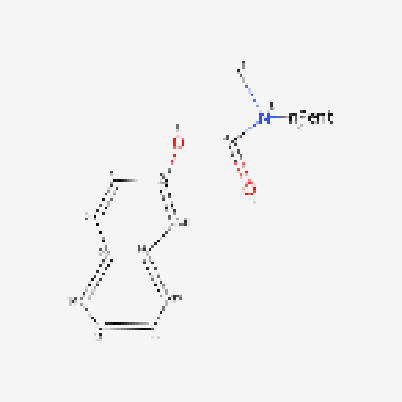 CCCCCN(C)C(=O)Oc1ccc2ccccc2c1